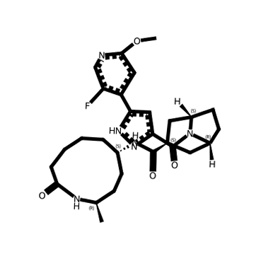 COc1cc(-c2cc(C(=O)N3[C@@H]4CC[C@H]3C[C@H](C(=O)N[C@H]3CCCCC(=O)N[C@H](C)CC3)C4)n[nH]2)c(F)cn1